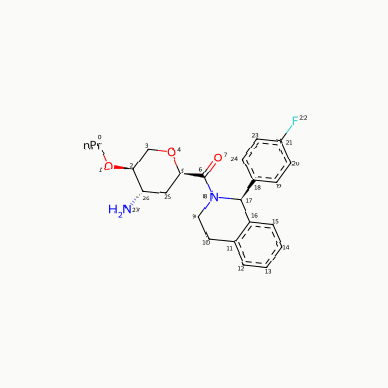 CCCO[C@H]1CO[C@@H](C(=O)N2CCc3ccccc3[C@@H]2c2ccc(F)cc2)C[C@@H]1N